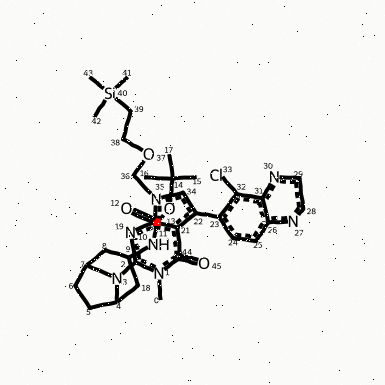 Cn1c(N2C3CCC2CC(NC(=O)OC(C)(C)C)C3)nc2c(c(-c3ccc4nccnc4c3Cl)cn2COCC[Si](C)(C)C)c1=O